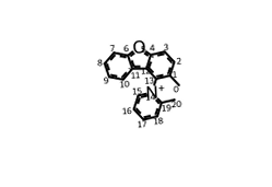 Cc1ccc2oc3ccccc3c2c1-[n+]1ccccc1C